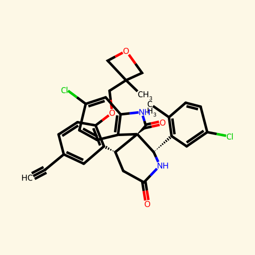 C#Cc1ccc(OCC2(C)COC2)c([C@H]2CC(=O)N[C@@H](c3cc(Cl)ccc3C)[C@]23C(=O)Nc2cc(Cl)ccc23)c1